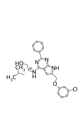 CC(C)C[C@H](CO)Nc1nc(-c2ccccc2)nc2[nH]c(COc3cccc(Cl)c3)cc12